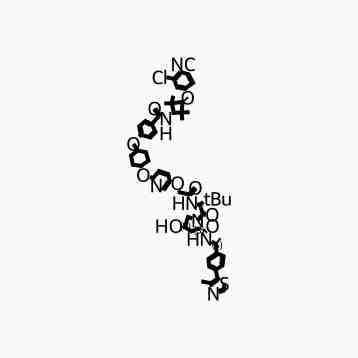 Cc1ncsc1-c1ccc([C@H](C)NC(=O)[C@@H]2C[C@@H](O)CN2C(=O)C(NC(=O)COc2ccc(OC3CCC(Oc4ccc(C(=O)N[C@H]5C(C)(C)[C@H](Oc6ccc(C#N)c(Cl)c6)C5(C)C)cc4)CC3)nc2)C(C)(C)C)cc1